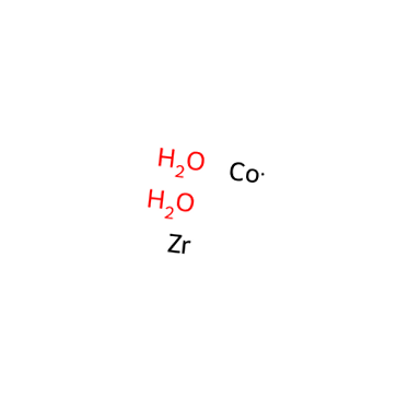 O.O.[Co].[Zr]